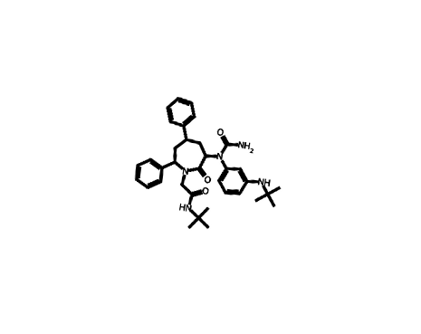 CC(C)(C)NC(=O)CN1C(=O)C(N(C(N)=O)c2cccc(NC(C)(C)C)c2)CC(c2ccccc2)CC1c1ccccc1